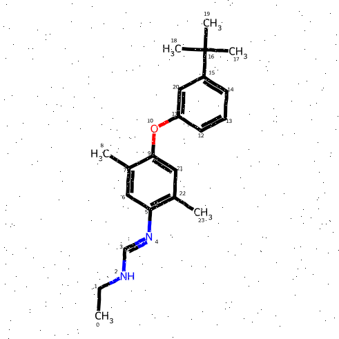 CCNC=Nc1cc(C)c(Oc2cccc(C(C)(C)C)c2)cc1C